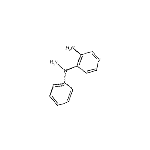 Nc1cnccc1N(N)c1ccccc1